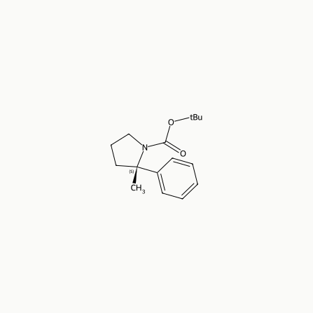 CC(C)(C)OC(=O)N1CCC[C@@]1(C)c1ccccc1